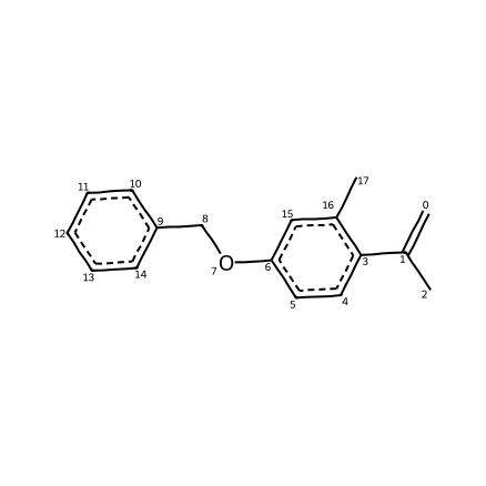 C=C(C)c1ccc(OCc2ccccc2)cc1C